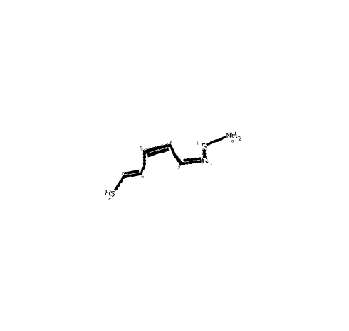 NS\N=C/C=C\C=C\S